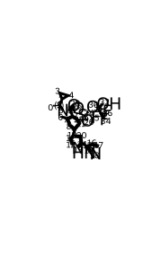 C[C@@H](C1CC1)N1Cc2cc(-c3ccnc(-c4ccn[nH]4)c3)cc(S(C)(=O)=O)c2C1=O.O=C(O)C(F)(F)F